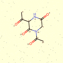 CC(=O)C1NC(=O)CN(C(C)=O)C1=O